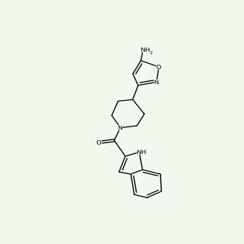 Nc1cc(C2CCN(C(=O)c3cc4ccccc4[nH]3)CC2)no1